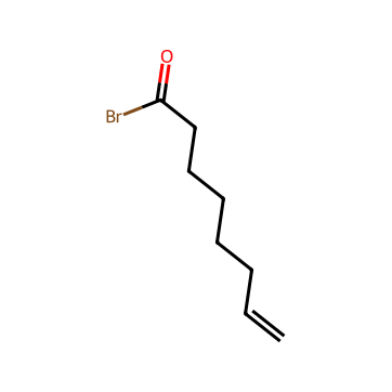 C=CCCCCCC(=O)Br